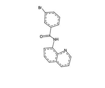 O=C(Nc1cccc2cccnc12)c1cccc(Br)c1